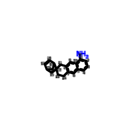 Nc1cccc2cc3c(cc12)CC1(CC3)CC2C=CC1C2